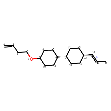 C=CCCOC1CCC([C@H]2CC[C@H](/C=C/C)CC2)CC1